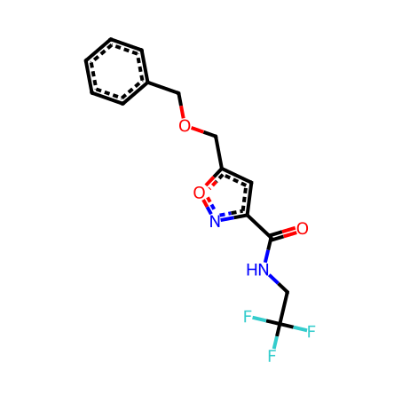 O=C(NCC(F)(F)F)c1cc(COCc2ccccc2)on1